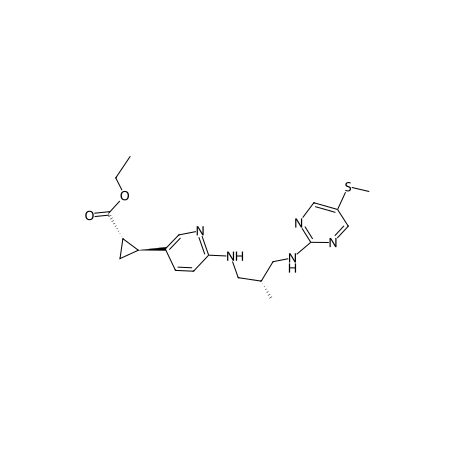 CCOC(=O)[C@H]1C[C@@H]1c1ccc(NC[C@@H](C)CNc2ncc(SC)cn2)nc1